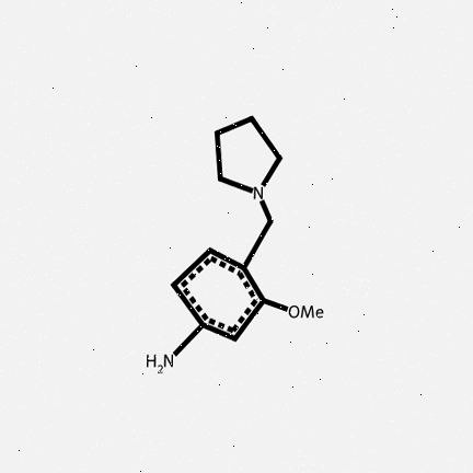 COc1cc(N)ccc1CN1CCCC1